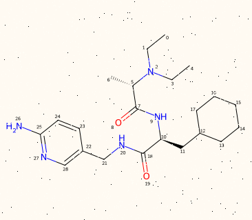 CCN(CC)[C@@H](C)C(=O)N[C@@H](CC1CCCCC1)C(=O)NCc1ccc(N)nc1